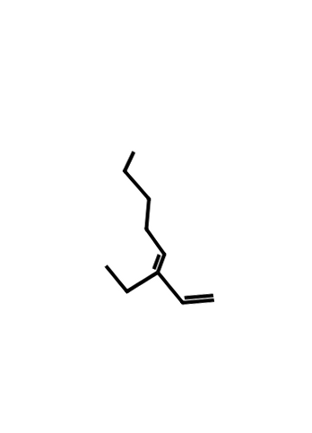 C=CC(=CCCCC)CC